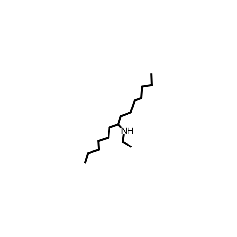 CCCCCCCC(CCCCCC)NCC